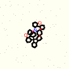 c1ccc(N(c2ccc3oc4cccc(C5(c6ccccc6)c6ccccc6-c6ccccc65)c4c3c2)c2cccc3oc4ccccc4c23)cc1